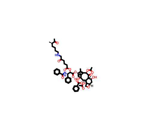 CC(=O)O[C@H]1C(=O)[C@@]2(C)[C@H]([C@H](OC(=O)c3ccccc3)[C@]3(O)C[C@H](OC(=O)[C@H](OC(=O)CCCC(=O)CNCCCC[C@@H](C)C(C)=O)[C@@H](NC(=O)c4ccccc4)c4ccccc4)C(C)=C1C3(C)C)[C@]1(OC(C)=O)CO[C@@H]1C[C@@H]2O